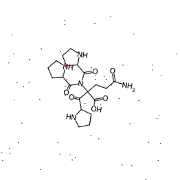 NC(=O)CCC(C(=O)O)(C(=O)C1CCCN1)N(C(=O)C1CCCN1)C(=O)C1CCCN1